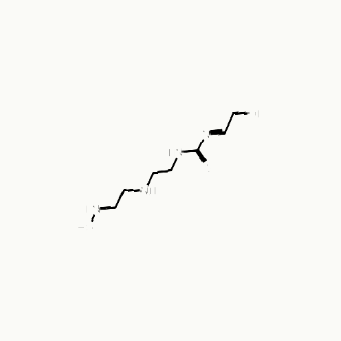 OCC=NC(=S)NCCNCCNO